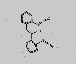 CC(Cc1ccccc1N=C=O)c1ccccc1N=C=O